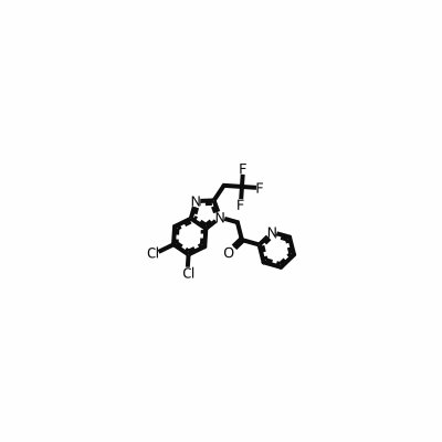 O=C(Cn1c(CC(F)(F)F)nc2cc(Cl)c(Cl)cc21)c1ccccn1